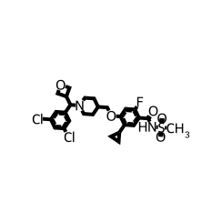 CS(=O)(=O)NC(=O)c1cc(C2CC2)c(OCC2CCN(C(c3cc(Cl)cc(Cl)c3)C3COC3)CC2)cc1F